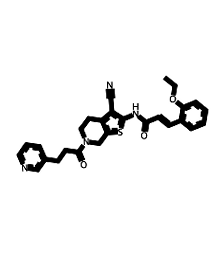 CCOc1ccccc1C=CC(=O)Nc1sc2c(c1C#N)CCN(C(=O)CCc1cccnc1)C2